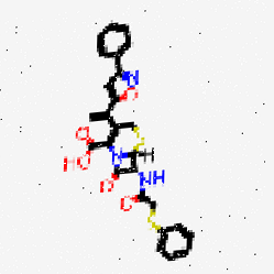 C=C(C1=C(C(=O)O)N2C(=O)[C@@H](NC(=O)CSc3ccccc3)[C@H]2SC1)c1cc(-c2ccccc2)no1